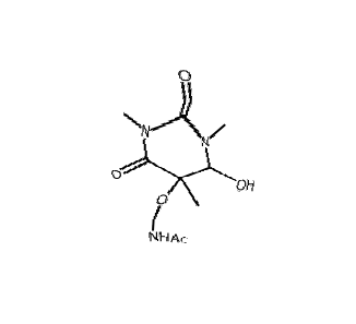 CC(=O)NOC1(C)C(=O)N(C)C(=O)N(C)C1O